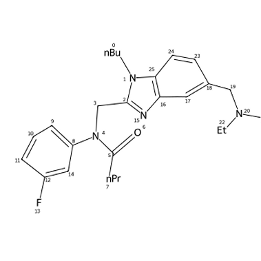 CCCCn1c(CN(C(=O)CCC)c2cccc(F)c2)nc2cc(CN(CC)CC)ccc21